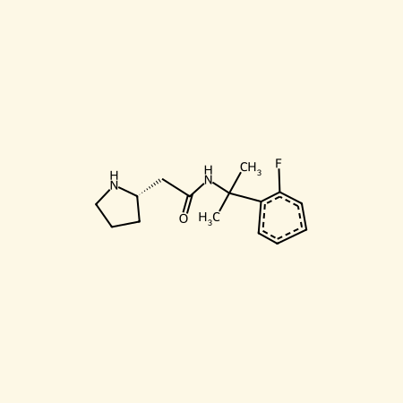 CC(C)(NC(=O)C[C@@H]1CCCN1)c1ccccc1F